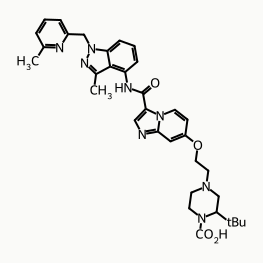 Cc1cccc(Cn2nc(C)c3c(NC(=O)c4cnc5cc(OCCN6CCN(C(=O)O)C(C(C)(C)C)C6)ccn45)cccc32)n1